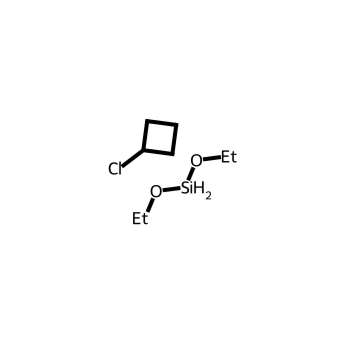 CCO[SiH2]OCC.ClC1CCC1